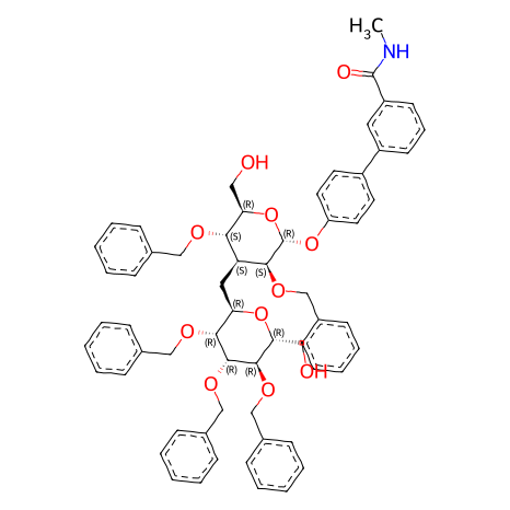 CNC(=O)c1cccc(-c2ccc(O[C@H]3O[C@H](CO)[C@@H](OCc4ccccc4)[C@H](C[C@H]4O[C@H](CO)[C@@H](OCc5ccccc5)[C@H](OCc5ccccc5)[C@@H]4OCc4ccccc4)[C@@H]3OCc3ccccc3)cc2)c1